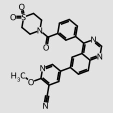 COc1ncc(-c2ccc3ncnc(-c4cccc(C(=O)N5CCS(=O)(=O)CC5)c4)c3c2)cc1C#N